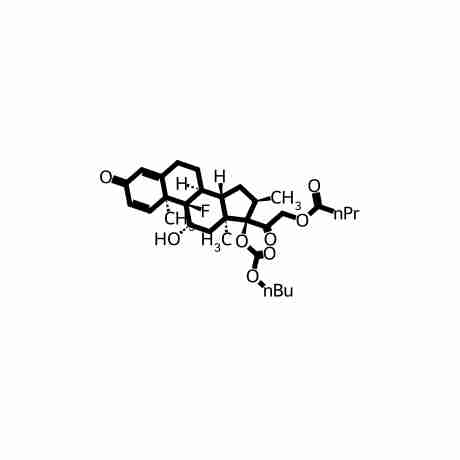 CCCCOC(=O)O[C@]1(C(=O)COC(=O)CCC)[C@H](C)C[C@H]2[C@@H]3CCC4=CC(=O)C=C[C@]4(C)[C@@]3(F)[C@@H](O)C[C@@]21C